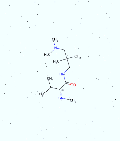 CN[C@@H](C(=O)NCC(C)(C)CN(C)C)C(C)C